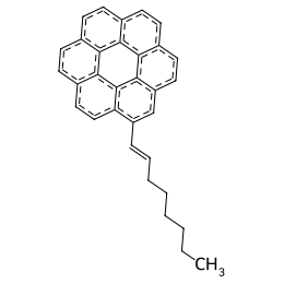 CCCCCCC=Cc1cc2ccc3ccc4ccc5ccc6ccc1c1c6c5c4c3c21